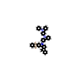 CC1(C)c2ccccc2-c2ccc3c(c21)c1cc2c(cc1n3-c1ccc3c(c1)c1ccccc1n3-c1ccc3c(c1)c1ccccc1n3-c1ccccc1)Sc1ccccc1S2